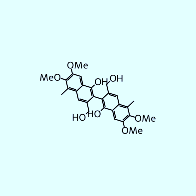 COc1cc2c(O)c(-c3c(CO)cc4c(C)c(OC)c(OC)cc4c3O)c(CO)cc2c(C)c1OC